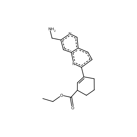 CCOC(=O)C1C=C(c2ccc3cnc(CN)cc3n2)CCC1